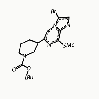 CSc1nc(C2CCCN(C(=O)OC(C)(C)C)C2)cn2c(Br)cnc12